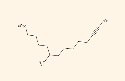 [CH2]CCC#CCCCCCC(C)CCCCCCCCCCCCC[CH2]